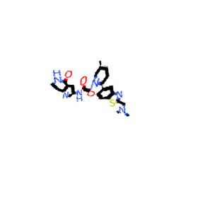 C[C@H]1CC[C@H](c2ccc3sc(CN(C)C)nc3c2)N(C(=O)C(=O)Nc2cnc3c(c2)C(=O)NCC3)C1